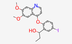 CCC(O)c1cc(I)ccc1Oc1ccnc2cc(OC)c(OC)cc12